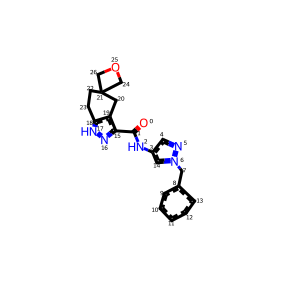 O=C(Nc1cnn(Cc2ccccc2)c1)c1n[nH]c2c1CC1(CC2)COC1